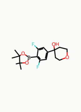 CC1(C)OB(c2c(F)cc(C3(O)CCOCC3)cc2F)OC1(C)C